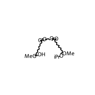 COC(CO)CCCCCCCCC(=O)C(C)(C)OCCCOC(C)(C)C(=O)CCCCCCCCC(COC(C)C)OC